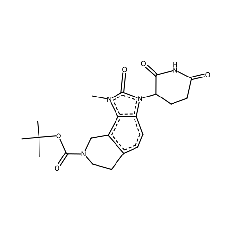 Cn1c(=O)n(C2CCC(=O)NC2=O)c2ccc3c(c21)CN(C(=O)OC(C)(C)C)CC3